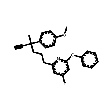 C#CC(C)(CCCc1cc(F)cc(Oc2ccccc2)n1)c1ccc(OC)cc1